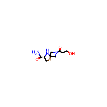 NC(=O)[C@@H]1CSC2(CN(C(=O)CCO)C2)N1